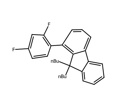 CCCCC1(CCCC)c2ccccc2-c2cccc(-c3ccc(F)cc3F)c21